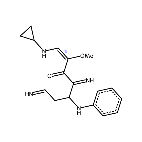 CO/C(=C/NC1CC1)C(=O)C(=N)C(CC=N)Nc1ccccc1